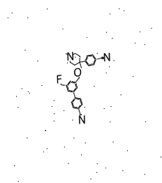 CN1CCC(COCc2cc(CF)cc(-c3ccc(C#N)cc3)c2)(c2ccc(C#N)cc2)CC1